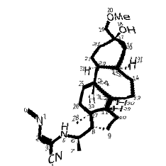 C=N/C=C(/C#N)N[C@H](C)[C@H]1CC[C@H]2[C@@H]3CC[C@@H]4C[C@@](O)(COC)CC[C@@H]4[C@H]3CC[C@]12C